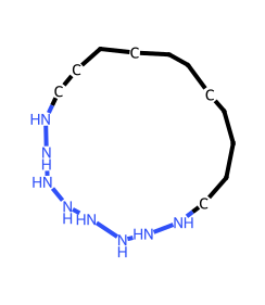 C1CCCCCNNNNNNNNCCCCC1